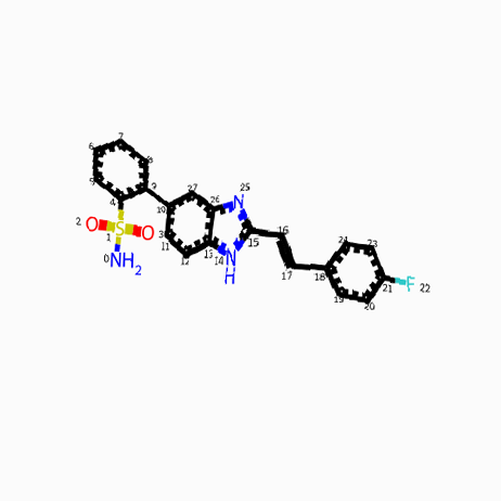 NS(=O)(=O)c1ccccc1-c1ccc2[nH]c(/C=C/c3ccc(F)cc3)nc2c1